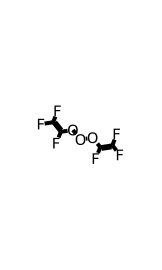 FC(F)=C(F)OOOC(F)=C(F)F